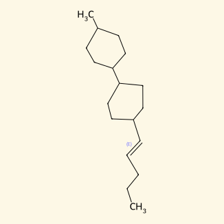 CCC/C=C/C1CCC(C2CCC(C)CC2)CC1